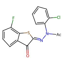 CC(=O)N(/N=C1\Sc2c(F)cccc2C1=O)c1ccccc1Cl